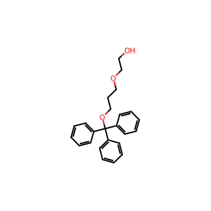 OCCOCCCOC(c1ccccc1)(c1ccccc1)c1ccccc1